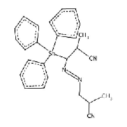 CC(C#N)CN=N[CH](C(C)C#N)[Sn]([c]1ccccc1)([c]1ccccc1)[c]1ccccc1